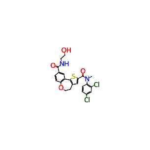 CN(C(=O)c1cc2c(s1)-c1cc(C(=O)NCCO)ccc1OCC2)c1ccc(Cl)cc1Cl